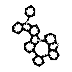 c1ccc(-n2c3ccccc3c3c4c5cccc6c7ccccc7c7cccc8sc9cccc(c9c87)n(c4ccc32)c65)cc1